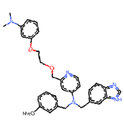 COc1cccc(CN(Cc2ccc3nc[nH]c3c2)c2ccnc(COCCOc3cccc(N(C)C)c3)c2)c1